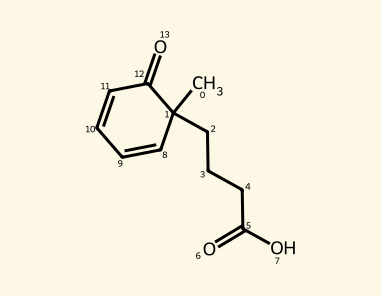 CC1(CCCC(=O)O)C=CC=CC1=O